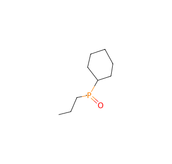 CCC[P](=O)C1CCCCC1